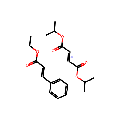 CC(C)OC(=O)/C=C/C(=O)OC(C)C.CCOC(=O)C=Cc1ccccc1